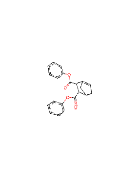 O=C(Oc1ccccc1)C1C2=CCC(C2)C1C(=O)Oc1ccccc1